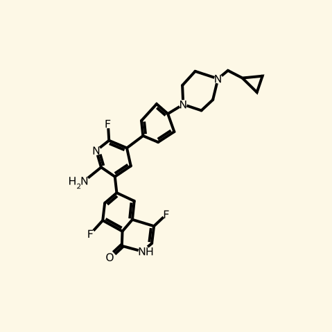 Nc1nc(F)c(-c2ccc(N3CCN(CC4CC4)CC3)cc2)cc1-c1cc(F)c2c(=O)[nH]cc(F)c2c1